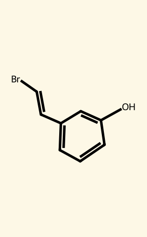 Oc1cccc(C=CBr)c1